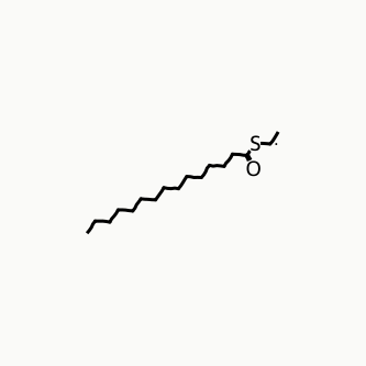 C[CH]SC(=O)CCCCCCCCCCCCCC